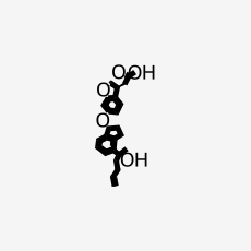 C=CCCC(C)(O)c1cccc2c1CC[C@H]2Oc1ccc2c(c1)OC[C@H]2CC(=O)O